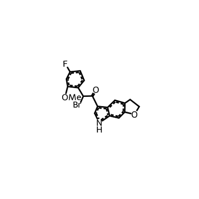 COc1cc(F)ccc1C(Br)C(=O)c1c[nH]c2cc3c(cc12)CCO3